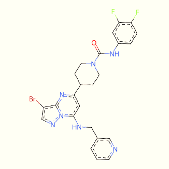 O=C(Nc1ccc(F)c(F)c1)N1CCC(c2cc(NCc3cccnc3)n3ncc(Br)c3n2)CC1